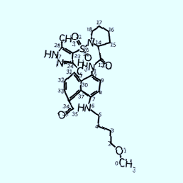 COCCCCNc1ccc(NC(=O)C2CCCCN2S(=O)(=O)c2c(C)n[nH]c2C)c2cccc(C=O)c12